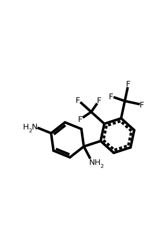 NC1=CCC(N)(c2cccc(C(F)(F)F)c2C(F)(F)F)C=C1